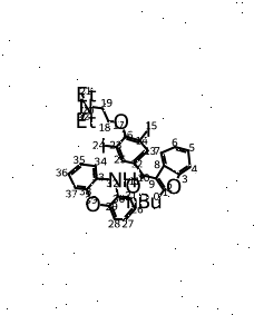 CCCCc1oc2ccccc2c1C(=O)c1cc(I)c(OCCN(CC)CC)c(I)c1.c1ccc2c(c1)Nc1ccccc1O2